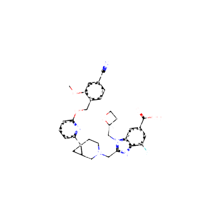 COc1cc(C#N)ccc1COc1cccc(C23CCN(Cc4nc5c(F)cc(C(=O)O)cc5n4C[C@@H]4CCO4)CC2C3)n1